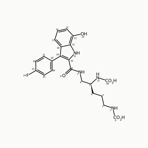 O=C(O)NCCC[C@@H](CNC(=O)c1[nH]c2c(O)cccc2c1-c1ccc(F)cc1)NC(=O)O